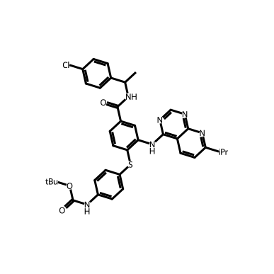 CC(C)c1ccc2c(Nc3cc(C(=O)NC(C)c4ccc(Cl)cc4)ccc3Sc3ccc(NC(=O)OC(C)(C)C)cc3)ncnc2n1